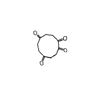 O=C1CCC(=O)CCC(=O)C(=O)CC1